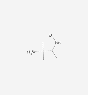 CCNC(C)C(C)(C)[SiH3]